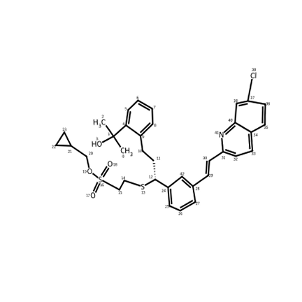 CC(C)(O)c1ccccc1CC[C@@H](SCCS(=O)(=O)OCC1CC1)c1cccc(/C=C/c2ccc3ccc(Cl)cc3n2)c1